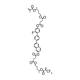 C=C(C)C(=O)OC(C)CCCOC(=O)CCC(=O)Oc1ccc(-c2ccc(-c3ccc4cc(OC(=O)CCC(=O)OCCCC(C)OC(=O)C(=C)C(F)(F)F)ccc4c3)cc2)c(F)c1